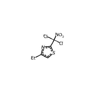 CCc1csc(C(Cl)(Cl)[N+](=O)[O-])n1